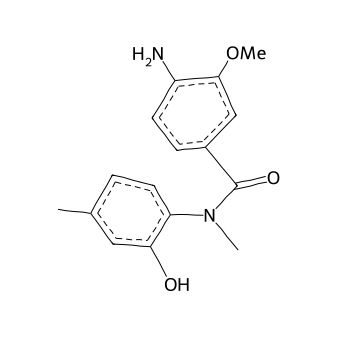 COc1cc(C(=O)N(C)c2ccc(C)cc2O)ccc1N